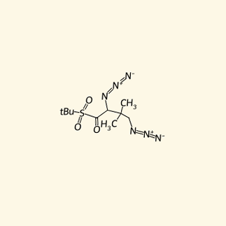 CC(C)(CN=[N+]=[N-])C(N=[N+]=[N-])C(=O)S(=O)(=O)C(C)(C)C